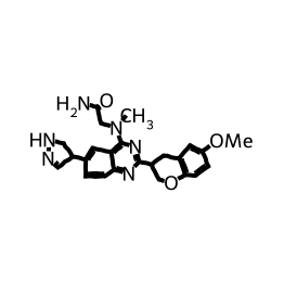 COc1ccc2c(c1)CC(c1nc(N(C)CC(N)=O)c3cc(C4C=NNC4)ccc3n1)CO2